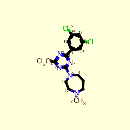 CN1CCCN(c2nc(-c3cc(Cl)cc(Cl)c3)nc(C(Cl)(Cl)Cl)n2)CC1